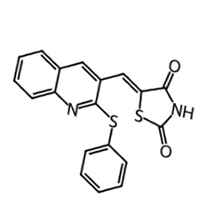 O=C1NC(=O)C(=Cc2cc3ccccc3nc2Sc2ccccc2)S1